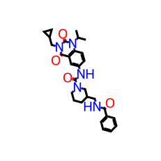 CC(C)n1c(=O)n(CC2CC2)c(=O)c2cc(NC(=O)N3CCCC(CNC(=O)c4ccccc4)C3)ccc21